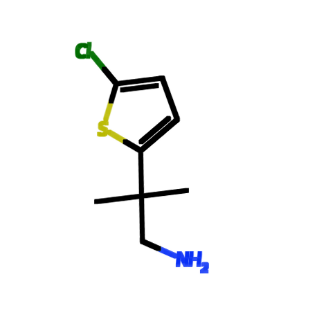 CC(C)(CN)c1ccc(Cl)s1